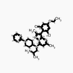 CCOc1cc(Cl)c(-c2c(C)nn3c(N(CC(C)N)C4CCN(c5ncccn5)CC4)cc(C)nc23)c(Cl)c1